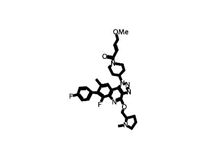 COC/C=C/C(=O)N1CCC(n2nnc3c(OCC4CCCN4C)nc4c(F)c(-c5ccc(F)cc5)c(C)cc4c32)CC1